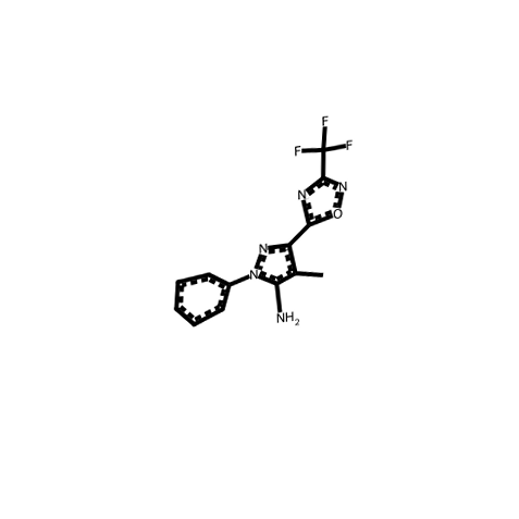 Cc1c(-c2nc(C(F)(F)F)no2)nn(-c2ccccc2)c1N